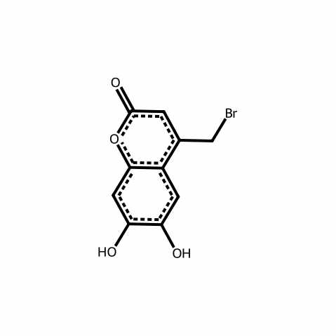 O=c1cc(CBr)c2cc(O)c(O)cc2o1